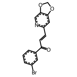 O=C(C=Cc1cc2c(cn1)OCO2)c1cccc(Br)c1